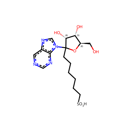 O=S(=O)(O)CCCCCCC1(n2cnc3cncnc32)O[C@H](CO)[C@@H](O)[C@H]1O